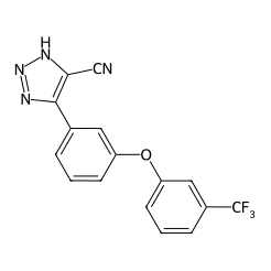 N#Cc1[nH]nnc1-c1cccc(Oc2cccc(C(F)(F)F)c2)c1